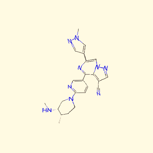 CN[C@@H]1CN(c2ccc(-c3nc(-c4cnn(C)c4)cn4ncc(C#N)c34)cn2)CC[C@@H]1C